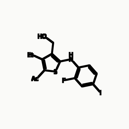 CCc1c(C(C)=O)sc(Nc2ccc(I)cc2F)c1CO